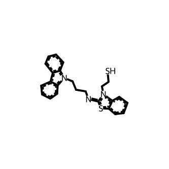 SCCn1c(=NCCCn2c3ccccc3c3ccccc32)sc2ccccc21